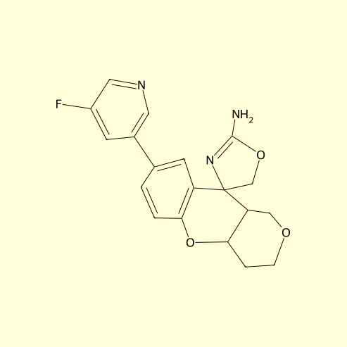 NC1=NC2(CO1)c1cc(-c3cncc(F)c3)ccc1OC1CCOCC12